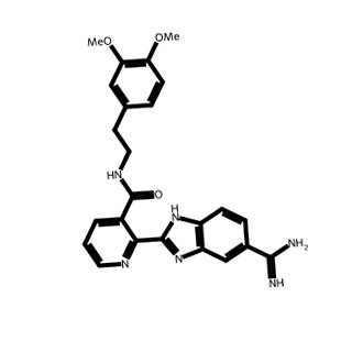 COc1ccc(CCNC(=O)c2cccnc2-c2nc3cc(C(=N)N)ccc3[nH]2)cc1OC